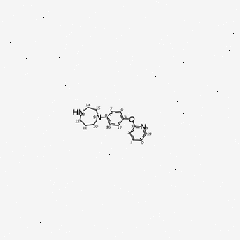 c1ccc(Oc2ccc(N3CCCNCC3)cc2)nc1